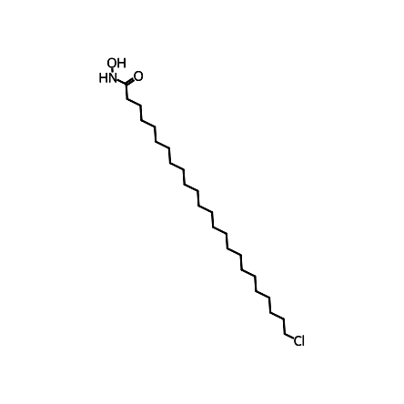 O=C(CCCCCCCCCCCCCCCCCCCCCCCCl)NO